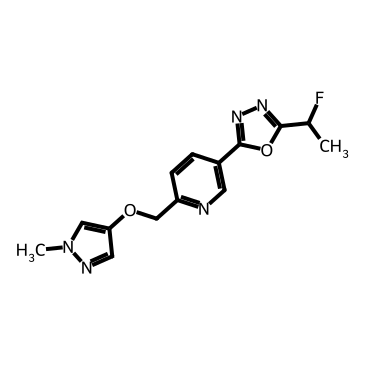 CC(F)c1nnc(-c2ccc(COc3cnn(C)c3)nc2)o1